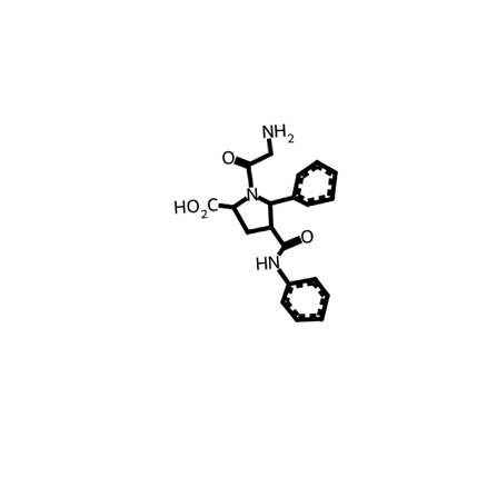 NCC(=O)N1C(C(=O)O)CC(C(=O)Nc2ccccc2)C1c1ccccc1